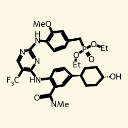 CCOP(=O)(Cc1ccc(Nc2ncc(C(F)(F)F)c(Nc3ccc([C@H]4CC[C@H](O)CC4)cc3C(=O)NC)n2)c(OC)c1)OCC